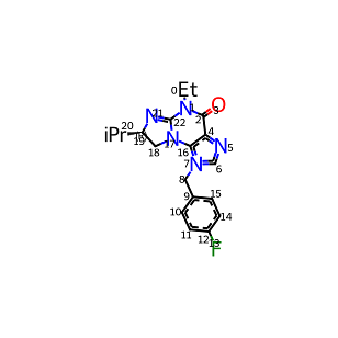 CCN1C(=O)c2ncn(Cc3ccc(F)cc3)c2N2C[C@@H](C(C)C)N=C12